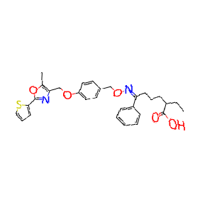 CCC(CCCC(=NOCc1ccc(OCc2nc(-c3cccs3)oc2C)cc1)c1ccccc1)C(=O)O